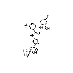 Cc1cc(F)ccc1Nc1ccc(C(F)(F)F)cc1C(=O)Nc1cnn(C(=O)OC(C)(C)C)c1